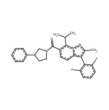 Cc1nn2c(C(C)C)c(C(=O)N3CCC(c4ccccc4)C3)ccc2c1-c1c(F)cccc1F